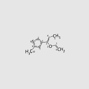 C=CO/C(=C\C)c1csc(C)c1